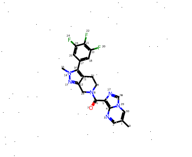 Cc1cnc2c(C(=O)N3CCc4c(nn(C)c4-c4cc(F)c(F)c(F)c4)C3)ncn2c1